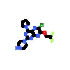 FC(F)COc1nc2nc(N3CCNCC3)nc(N3CCCC3)c2nc1Cl